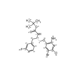 CC(C)(C)OC(=O)N[C@H](COc1cc(Br)c(Cl)nc1N)Cc1cccc(F)c1